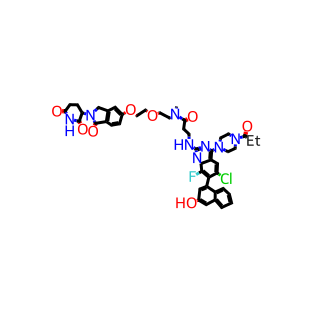 CCC(=O)N1CCN(c2nc(NCCC(=O)N(C)CCOCCOc3ccc4c(c3)CN(C3CCC(=O)NC3=O)C4=O)nc3c(F)c(-c4cc(O)cc5ccccc45)c(Cl)cc23)CC1